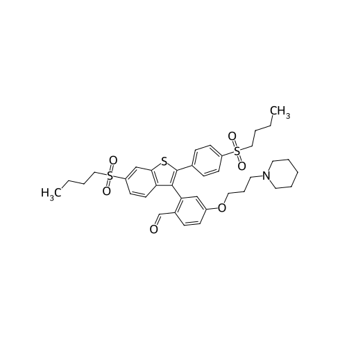 CCCCS(=O)(=O)c1ccc(-c2sc3cc(S(=O)(=O)CCCC)ccc3c2-c2cc(OCCCN3CCCCC3)ccc2C=O)cc1